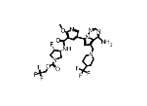 COc1ncc(-c2cc(CN3CCC(C(F)(F)F)CC3)c3c(N)ncnn23)cc1C(=O)N[C@@H]1CN(C(=O)OCC(F)(F)F)C[C@@H]1F